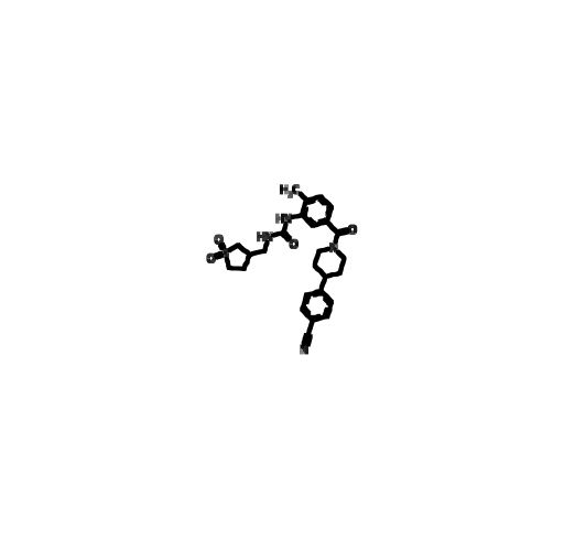 Cc1ccc(C(=O)N2CCC(c3ccc(C#N)cc3)CC2)cc1NC(=O)NCC1CCS(=O)(=O)C1